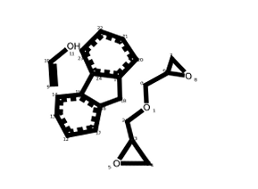 C(OCC1CO1)C1CO1.C=CO.c1ccc2c(c1)Cc1ccccc1-2